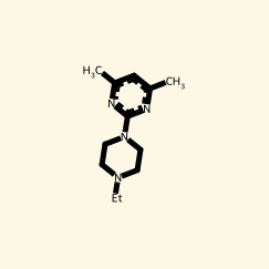 CCN1CCN(c2nc(C)cc(C)n2)CC1